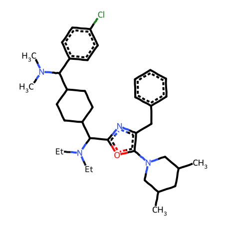 CCN(CC)C(c1nc(Cc2ccccc2)c(N2CC(C)CC(C)C2)o1)C1CCC(C(c2ccc(Cl)cc2)N(C)C)CC1